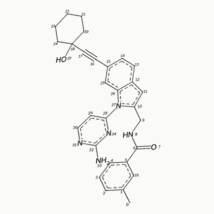 Cc1cccc(C(=O)NCc2cc3ccc(C#CC4(O)CCCCC4)cc3n2-c2ccnc(N)n2)c1